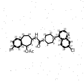 CC(=O)OC1CC(NC(=O)N2CCN(c3ccnc4cc(Cl)ccc34)CC2)CCc2ccc(F)cc21